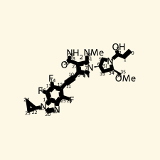 C=CC(O)N1C[C@@H](n2nc(C#Cc3c(F)c(F)c4c(ncn4C4CC4)c3F)c(C(N)=O)c2NC)C[C@@H]1COC